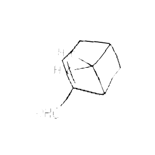 CC1(C)[C]2CC1CC=C2C=O